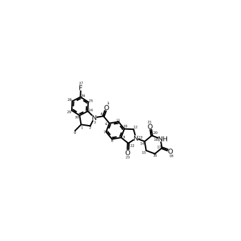 CC1CN(C(=O)c2ccc3c(c2)CN(C2CCC(=O)NC2=O)C3=O)c2cc(F)ccc21